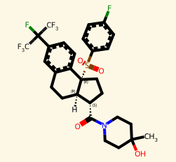 CC1(O)CCN(C(=O)[C@H]2CC[C@]3(S(=O)(=O)c4ccc(F)cc4)c4ccc(C(F)(C(F)(F)F)C(F)(F)F)cc4CC[C@H]23)CC1